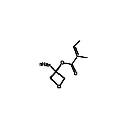 CC=C(C)C(=O)OC1(CCCCCC)COC1